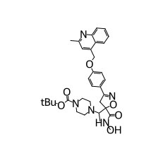 Cc1cc(COc2ccc(C3=NOC(C(=O)NO)(C(C)N4CCN(C(=O)OC(C)(C)C)CC4)C3)cc2)c2ccccc2n1